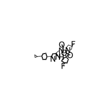 O=C(NCc1cc(-c2ccc(C3CC3)cc2)ncn1)[C@@H]1C[C@@H](F)CN1S(=O)(=O)c1ccc(F)cc1